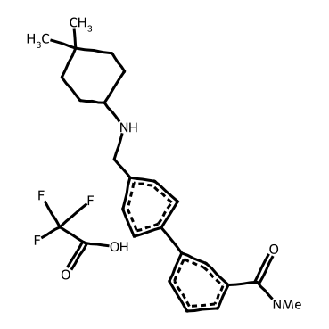 CNC(=O)c1cccc(-c2ccc(CNC3CCC(C)(C)CC3)cc2)c1.O=C(O)C(F)(F)F